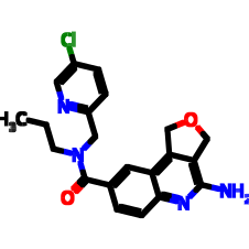 CCCN(Cc1ccc(Cl)cn1)C(=O)c1ccc2nc(N)c3c(c2c1)COC3